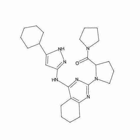 O=C(C1CCCN1c1nc2c(c(Nc3cc(C4CCCCC4)[nH]n3)n1)CCCC2)N1CCCC1